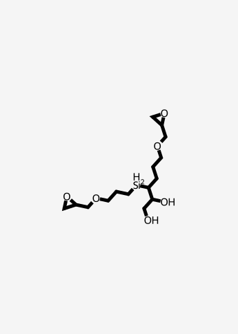 OCC(O)C(CCCOCC1CO1)[SiH2]CCCOCC1CO1